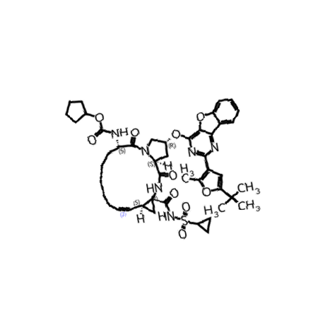 Cc1oc(C(C)(C)C)cc1-c1nc(O[C@@H]2C[C@H]3C(=O)N[C@]4(C(=O)NS(=O)(=O)C5CC5)C[C@H]4/C=C\CCCCC[C@H](NC(=O)OC4CCCC4)C(=O)N3C2)c2oc3ccccc3c2n1